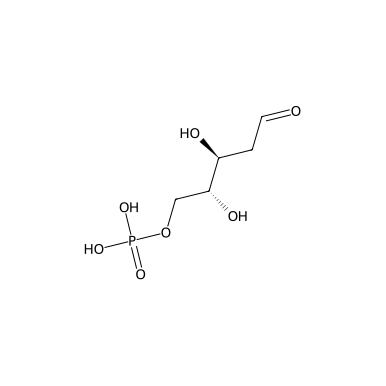 O=CC[C@H](O)[C@H](O)COP(=O)(O)O